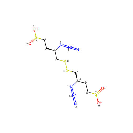 [N-]=[N+]=N[C@H](CCS(=O)O)CSSC[C@@H](CCS(=O)O)N=[N+]=[N-]